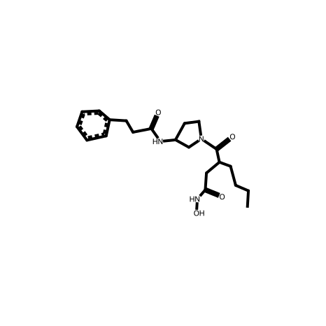 CCCCC(CC(=O)NO)C(=O)N1CCC(NC(=O)CCc2ccccc2)C1